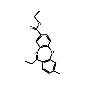 CCOC(=O)c1ccc2c(c1)N=C(CC)c1ccc(C)cc1O2